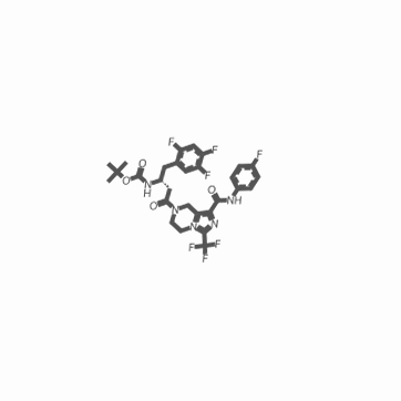 CC(C)(C)OC(=O)N[C@@H](CC(=O)N1CCn2c(C(F)(F)F)nc(C(=O)Nc3ccc(F)cc3)c2C1)Cc1cc(F)c(F)cc1F